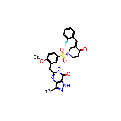 CCCc1n[nH]c2c(=O)[nH]c(Cc3cc(S(=O)(=O)N4CCC(=O)/C(=C/c5ccccc5F)C4)ccc3OCC)nc12